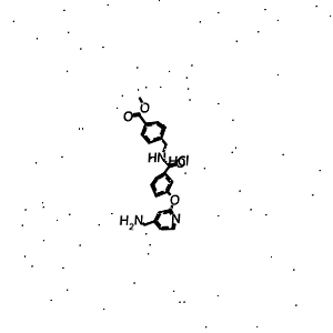 COC(=O)c1ccc(CNC(=O)c2cccc(Oc3cc(CN)ccn3)c2)cc1.Cl